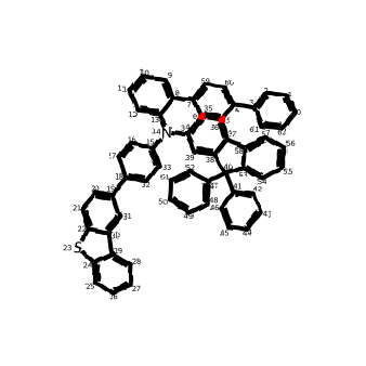 c1ccc(-c2ccc(-c3ccccc3N(c3ccc(-c4ccc5sc6ccccc6c5c4)cc3)c3ccc4c(c3)C(c3ccccc3)(c3ccccc3)c3ccccc3-4)cc2)cc1